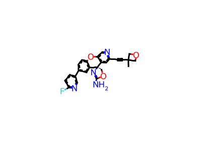 CC1(C#Cc2cc3c(cn2)Oc2ccc(-c4ccc(F)nc4)cc2[C@@]32COC(N)=N2)COC1